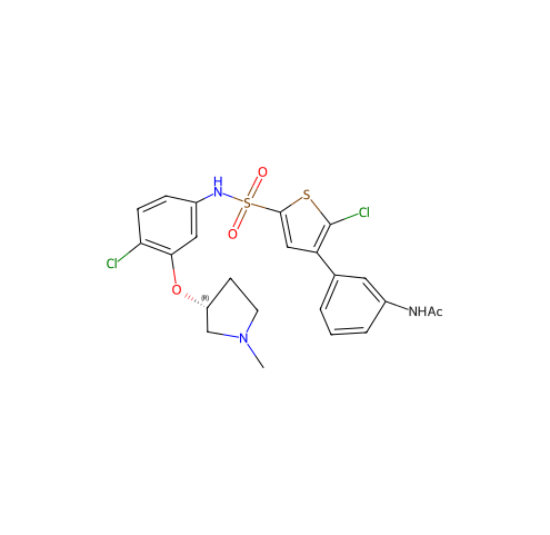 CC(=O)Nc1cccc(-c2cc(S(=O)(=O)Nc3ccc(Cl)c(O[C@@H]4CCN(C)C4)c3)sc2Cl)c1